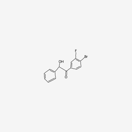 O=C(c1ccc(Br)c(F)c1)C(O)c1ccccc1